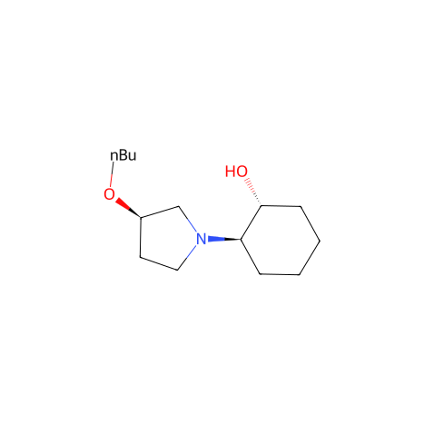 CCCCO[C@@H]1CCN([C@@H]2CCCC[C@H]2O)C1